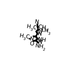 CCn1cc(-c2cc(C(C)(C)C#N)n(C)n2)c2[nH]nc(N)c2c1=O